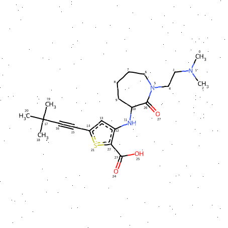 CN(C)CCN1CCCCC(Nc2cc(C#CC(C)(C)C)sc2C(=O)O)C1=O